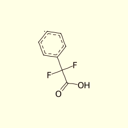 O=C(O)C(F)(F)c1cc[c]cc1